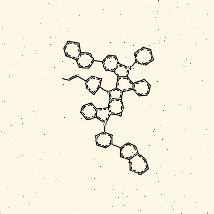 C/C=C/c1ccc(-n2c3c(ccc4c3c3ccccc3n4-c3cccc(-c4ccc5ccccc5c4)c3)c3c4ccccc4c4c(c5cc(-c6ccc7ccccc7c6)ccc5n4-c4ccccc4)c32)cc1